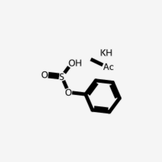 CC(C)=O.O=S(O)Oc1ccccc1.[KH]